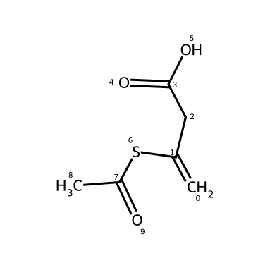 C=C(CC(=O)O)SC(C)=O